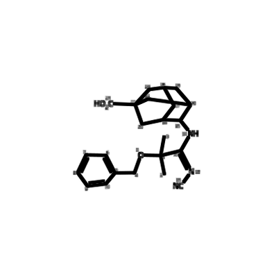 CC(C)(OCc1ccccc1)/C(=N\C#N)NC1C2CC3CC1CC(C(=O)O)(C3)C2